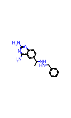 CC(NNCc1ccccc1)c1ccc2nc(N)nc(N)c2c1